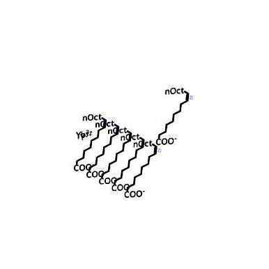 CCCCCCCC/C=C\CCCCCCCC(=O)[O-].CCCCCCCC/C=C\CCCCCCCC(=O)[O-].CCCCCCCC/C=C\CCCCCCCC(=O)[O-].CCCCCCCC/C=C\CCCCCCCC(=O)[O-].CCCCCCCC/C=C\CCCCCCCC(=O)[O-].CCCCCCCC/C=C\CCCCCCCC(=O)[O-].[Y+3].[Yb+3]